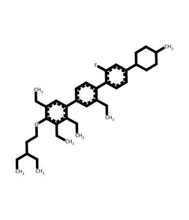 CCc1cc(-c2cc(CC)c(OCCC(CC)CC)c(CC)c2CC)ccc1-c1ccc(C2CCC(C)CC2)cc1F